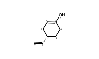 C=C[C@@H]1CC=C(O)CC1